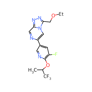 CCOCc1nnc2cnc(-c3cnc(OC(C)C(F)(F)F)c(F)c3)cn12